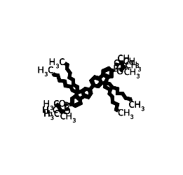 CCCCCCCCC1(CCCCCCCC)c2cc(B3OC(C)(C)C(C)(C)O3)ccc2-c2ccc(-c3ccc4c(c3)C(CCCCCCCC)(CCCCCCCC)c3cc(B5OC(C)(C)C(C)(C)O5)ccc3-4)cc21